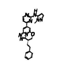 Cn1nccc1Nc1nccc(-c2cc3n4c(nnc4c2)[C@@H](CCc2ccccc2)CO3)n1